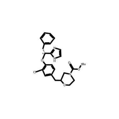 CC(C)(C)OC(=O)N1CCOC(Cc2ccc(O[C@H](Cc3ccccc3)c3ncc[nH]3)c(Cl)c2)C1